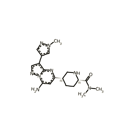 CN(C)C(=O)[C@@H]1CC[C@H](c2cc(N)n3ncc(-c4cnn(C)c4)c3n2)CN1